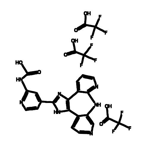 O=C(O)C(F)(F)F.O=C(O)C(F)(F)F.O=C(O)C(F)(F)F.O=C(O)Nc1cc(-c2nc3c([nH]2)-c2ccncc2Nc2ncccc2-3)ccn1